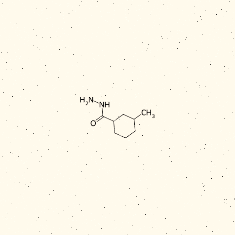 CC1CCCC(C(=O)NN)C1